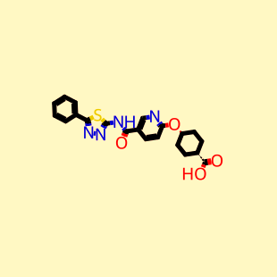 O=C(Nc1nnc(-c2ccccc2)s1)c1ccc(O[C@H]2CC[C@@H](C(=O)O)CC2)nc1